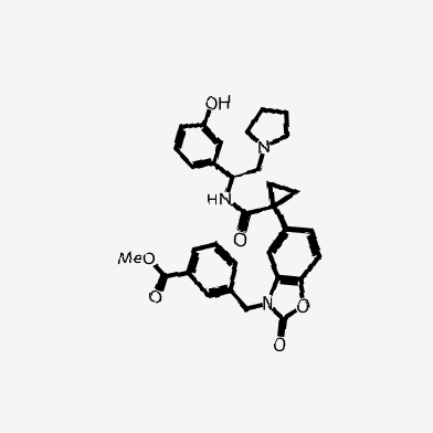 COC(=O)c1cccc(Cn2c(=O)oc3ccc(C4(C(=O)N[C@H](CN5CCCC5)c5cccc(O)c5)CC4)cc32)c1